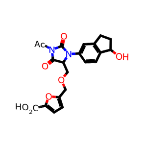 CC(=O)N1C(=O)C(COCc2ccc(C(=O)O)o2)N(c2ccc3c(c2)CCC3O)C1=O